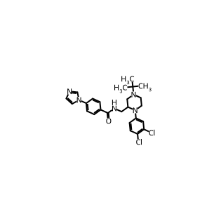 CC(C)(C)N1CCN(c2ccc(Cl)c(Cl)c2)C(CNC(=O)c2ccc(-n3ccnc3)cc2)C1